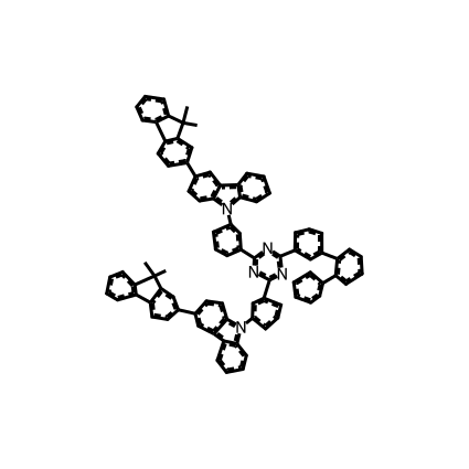 CC1(C)c2ccccc2-c2ccc(-c3ccc4c(c3)c3ccccc3n4-c3cccc(-c4nc(-c5cccc(-c6ccccc6-c6ccccc6)c5)nc(-c5cccc(-n6c7ccccc7c7cc(-c8ccc9c(c8)C(C)(C)c8ccccc8-9)ccc76)c5)n4)c3)cc21